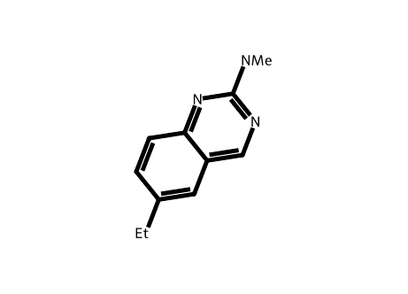 CCc1ccc2nc(NC)ncc2c1